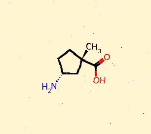 C[C@]1(C(=O)O)CC[C@@H](N)C1